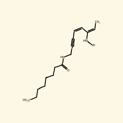 C/C=C(\C=C/C#CCNC(=O)CCCCCCC(=O)O)NC(C)C